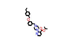 CCc1ccc(COc2cccc(CN3CCN(c4ncccc4C(=O)OC(C)C)CC3)c2)cc1